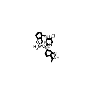 Cc1[nH]nc2cc(Nc3ncc(Cl)c(Nc4ccccc4CS(N)(=O)=O)n3)ccc12